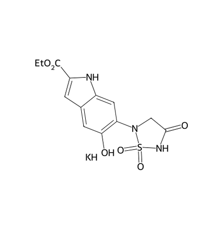 CCOC(=O)c1cc2cc(O)c(N3CC(=O)NS3(=O)=O)cc2[nH]1.[KH]